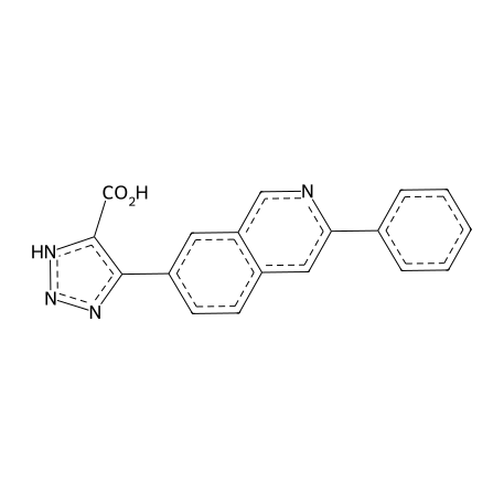 O=C(O)c1[nH]nnc1-c1ccc2cc(-c3ccccc3)ncc2c1